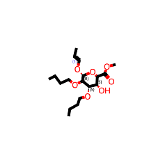 C/C=C/O[C@@H]1OC(C(=O)OC)[C@@H](O)[C@H](OCCCC)C1OCCCC